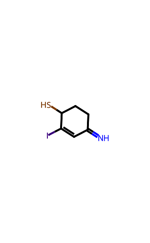 N=C1C=C(I)C(S)CC1